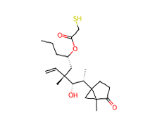 C=C[C@](C)(C[C@H](CCC)OC(=O)CS)[C@@H](O)[C@H](C)C12CCC(=O)C1(C)C2